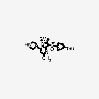 CSc1nn2c(N3CCNCC3)cc(C)nc2c1S(=O)(=O)c1ccc(C(C)(C)C)cc1